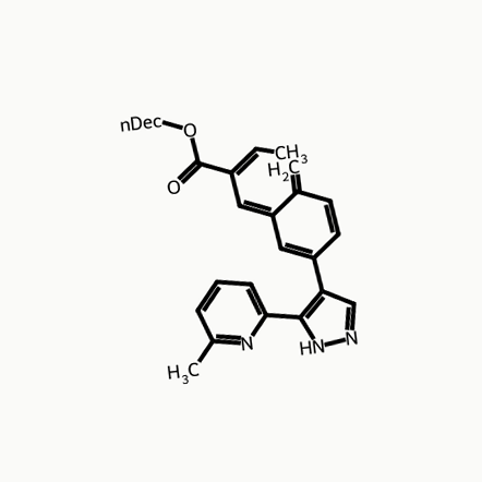 C=c1ccc(-c2cn[nH]c2-c2cccc(C)n2)c/c1=C/C(=C\C)C(=O)OCCCCCCCCCC